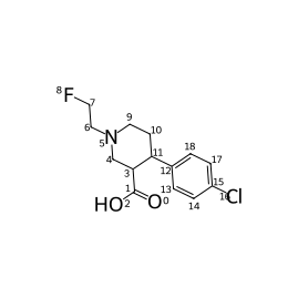 O=C(O)C1CN(CCF)CCC1c1ccc(Cl)cc1